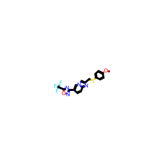 COc1ccc(SCc2cn3cc(-c4noc(C(F)(F)F)n4)ccc3n2)cc1